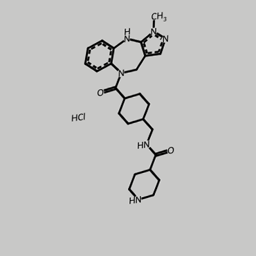 Cl.Cn1ncc2c1Nc1ccccc1N(C(=O)C1CCC(CNC(=O)C3CCNCC3)CC1)C2